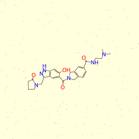 CN(C)CCNC(=O)c1ccc2c(c1)CN(C(=O)c1cc3c(CN4CCCC4=O)n[nH]c3cc1O)C2